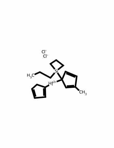 CCC[Si]1([C]2([Hf+2][C]3=CC=CC3)C=CC(C)=C2)CCC1.[Cl-].[Cl-]